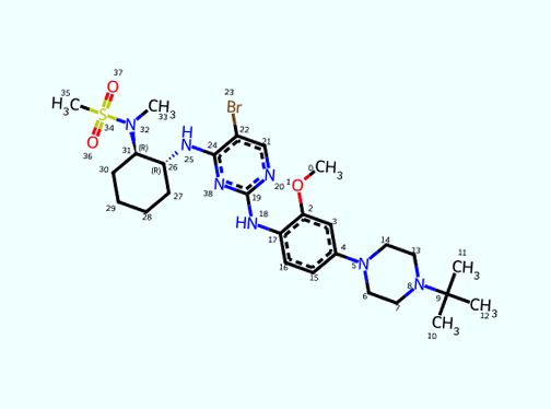 COc1cc(N2CCN(C(C)(C)C)CC2)ccc1Nc1ncc(Br)c(N[C@@H]2CCCC[C@H]2N(C)S(C)(=O)=O)n1